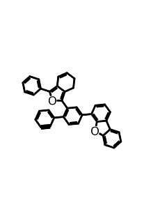 c1cccc(-c2ccc(-c3cccc4c3oc3ccccc34)cc2-c2oc(-c3ccccc3)c3c2CCC=C3)c#1